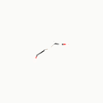 O=C=CSC=C=O